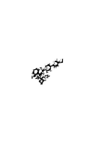 O=S1(=O)CCCc2nc(N3CCC(c4ncc(Cl)cn4)CC3)nc(NC3(CO)CCC3)c21